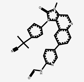 Cn1c(=O)n(-c2ccc(C(C)(C)C#N)cc2)c2c3cc(-c4ccc(NC=O)nc4)ccc3ncc21